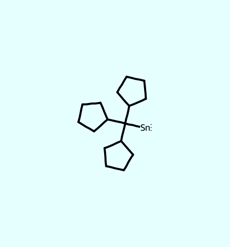 [Sn][C](C1CCCC1)(C1CCCC1)C1CCCC1